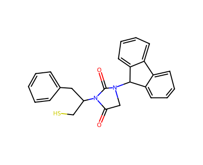 O=C1CN(C2c3ccccc3-c3ccccc32)C(=O)N1C(CS)Cc1ccccc1